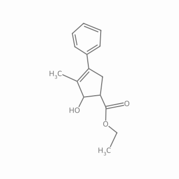 CCOC(=O)C1CC(c2ccccc2)=C(C)C1O